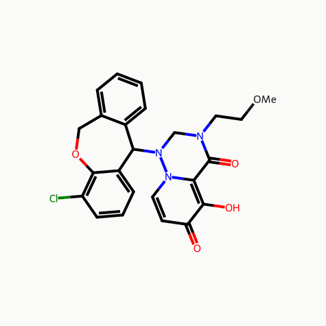 COCCN1CN(C2c3ccccc3COc3c(Cl)cccc32)n2ccc(=O)c(O)c2C1=O